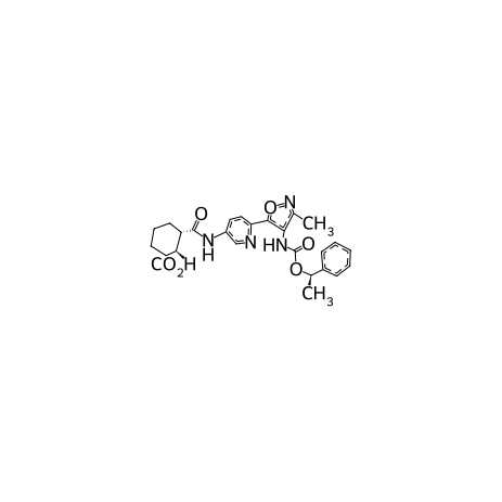 Cc1noc(-c2ccc(NC(=O)[C@H]3CCCC[C@@H]3C(=O)O)cn2)c1NC(=O)O[C@H](C)c1ccccc1